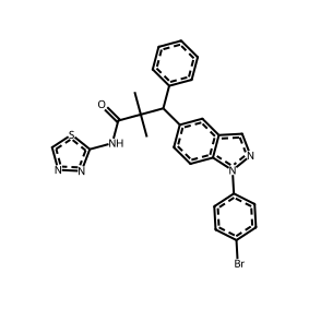 CC(C)(C(=O)Nc1nncs1)C(c1ccccc1)c1ccc2c(cnn2-c2ccc(Br)cc2)c1